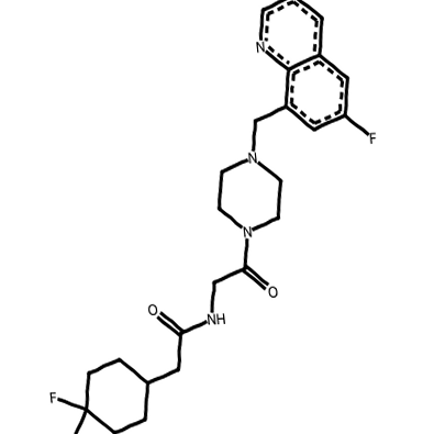 O=C(CC1CCC(F)(F)CC1)NCC(=O)N1CCN(Cc2cc(F)cc3cccnc23)CC1